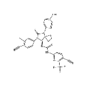 Cc1cc(N2C(=S)N(c3ccc(O)cc3)C3(CCC3)C2=NC(=S)Nc2ccc(C#N)c(C(F)(F)F)c2)ccc1C#N